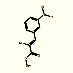 CCCOC(=O)/C(C#N)=C/c1cccc(N(CC)CC)c1